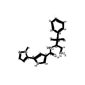 Cn1nccc1-c1cc(C(=O)NC(CN)C(C)(C)c2ccccc2)cs1